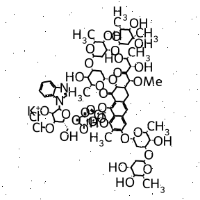 CO[C@H](C(=O)[C@@H](O)[C@@H](C)O)C1Cc2cc3cc(O[C@H]4C[C@@H](O[C@H]5C[C@@H](O)[C@H](O)[C@@H](C)O5)[C@@H](O)[C@@H](C)O4)c(C)c(O)c3c([O][Cr](=[O])(=[O])[O][Cr](=[O])(=[O])[O-])c2C(=O)[C@H]1O[C@H]1C[C@@H](O[C@H]2C[C@@H](O[C@H]3C[C@](C)(O)[C@H](O)[C@@H](C)O3)[C@H](O)[C@@H](C)O2)[C@H](O)[C@@H](C)O1.OC[C@H]1OC(n2cnc3ccccc32)[C@H](OCl)[C@@H]1OCl.[K+]